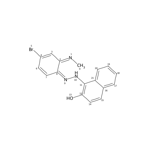 C/N=C1/C=C(Br)C=C/C1=N/Nc1c(O)ccc2ccccc12